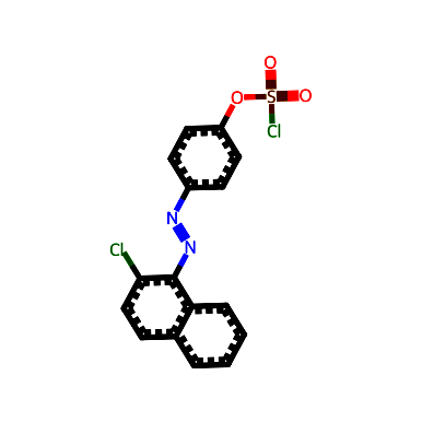 O=S(=O)(Cl)Oc1ccc(N=Nc2c(Cl)ccc3ccccc23)cc1